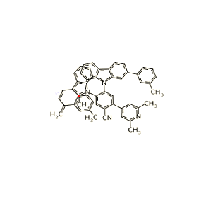 C=C(/C=C\c1c(C)n(-c2cc(C#N)c(-c3cc(C)nc(C)c3)cc2-n2c3ccccc3c3ccc(-c4cccc(C)c4)cc32)c2ccccc12)c1cccc(C)c1